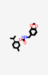 CC1CC[C@@H](C(C)C)[C@H](OC(=O)NCc2ccc3c(c2)OCO3)C1